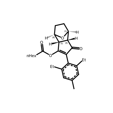 CCCCCCC(=O)OC1=C(c2c(CC)cc(C)cc2CC)C(=O)[C@@H]2[C@H]1[C@H]1CC[C@@H]2O1